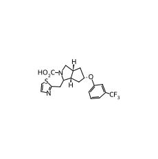 O=C(O)N1C[C@@H]2C[C@H](Oc3cccc(C(F)(F)F)c3)C[C@@H]2C1Cc1nccs1